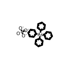 [O-][I+3]([O-])([O-])[O-].c1ccc([As+](c2ccccc2)(c2ccccc2)c2ccccc2)cc1